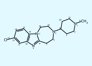 CN1CCC(N2CCc3nc4cc(Cl)ccc4n3CC2)CC1